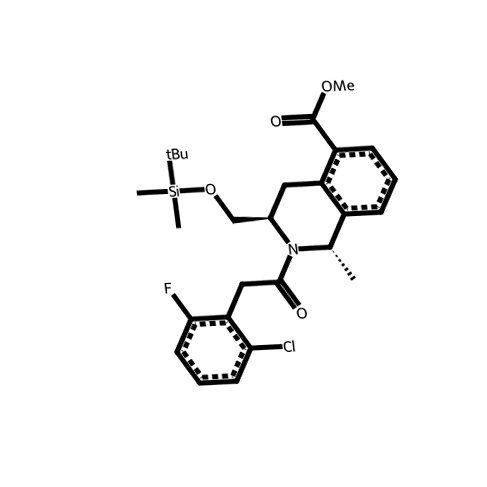 COC(=O)c1cccc2c1C[C@H](CO[Si](C)(C)C(C)(C)C)N(C(=O)Cc1c(F)cccc1Cl)[C@H]2C